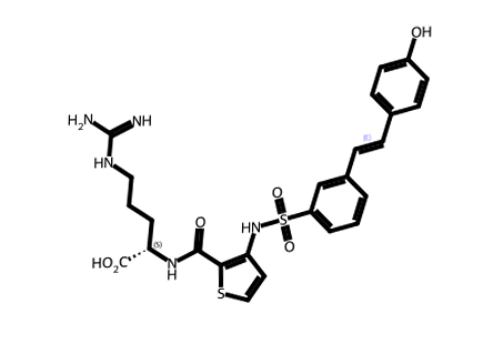 N=C(N)NCCC[C@H](NC(=O)c1sccc1NS(=O)(=O)c1cccc(/C=C/c2ccc(O)cc2)c1)C(=O)O